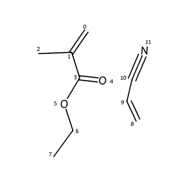 C=C(C)C(=O)OCC.C=CC#N